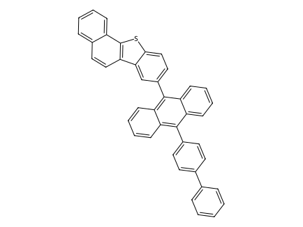 c1ccc(-c2ccc(-c3c4ccccc4c(-c4ccc5sc6c7ccccc7ccc6c5c4)c4ccccc34)cc2)cc1